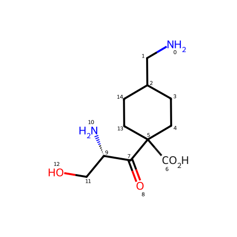 NCC1CCC(C(=O)O)(C(=O)[C@@H](N)CO)CC1